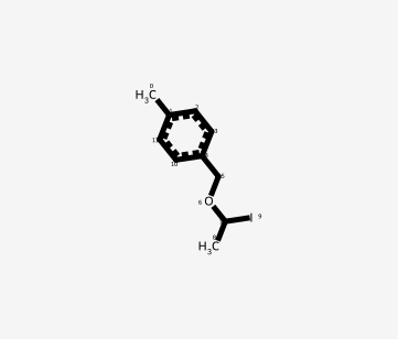 Cc1ccc(COC(C)I)cc1